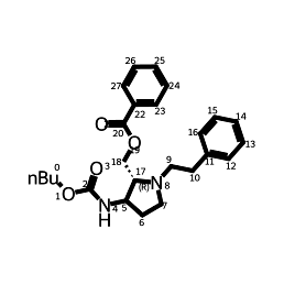 CCCCOC(=O)NC1CCN(CCc2ccccc2)[C@H]1COC(=O)c1ccccc1